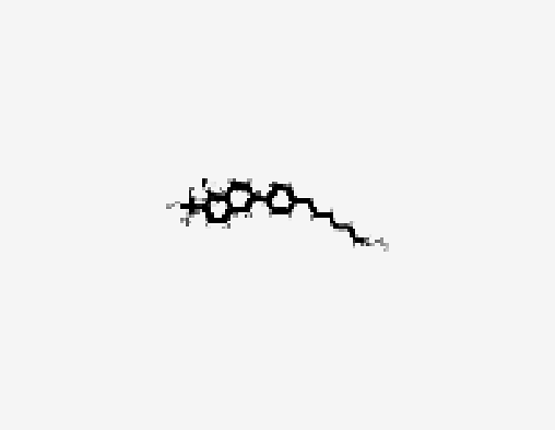 CCCCCCCc1ccc(-c2ccc3c(F)c(C(F)(F)F)ccc3c2)cc1